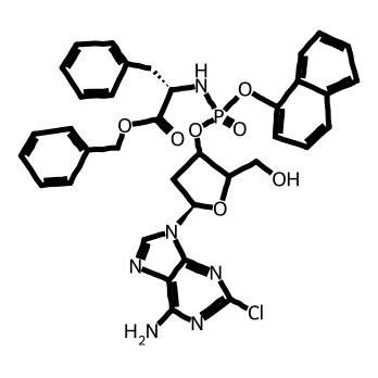 Nc1nc(Cl)nc2c1ncn2[C@H]1CC(OP(=O)(N[C@@H](Cc2ccccc2)C(=O)OCc2ccccc2)Oc2cccc3ccccc23)C(CO)O1